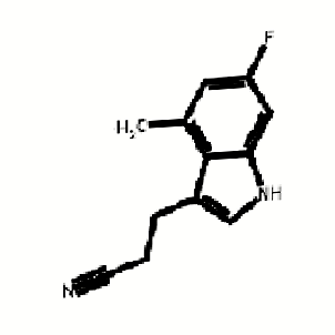 [CH2]c1cc(F)cc2[nH]cc(CCC#N)c12